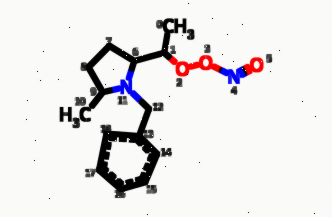 CC(OON=O)C1CCC(C)N1Cc1ccccc1